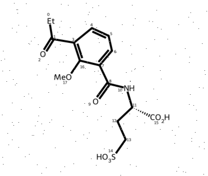 CCC(=O)c1cccc(C(=O)N[C@@H](CCS(=O)(=O)O)C(=O)O)c1OC